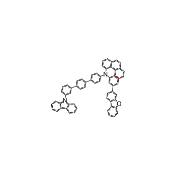 c1cc(-c2ccc3c(c2)oc2ccccc23)cc(N(c2ccc(-c3ccc(-c4cccc(-n5c6ccccc6c6ccccc65)c4)cc3)cc2)c2cccc3ccc4ccccc4c23)c1